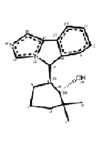 CC1(C)CCC[C@@H](C2c3ccccc3-c3cncn32)[C@@H]1O